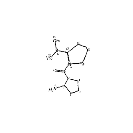 NC1CCCC1C(=O)N1CCCC1B(O)O